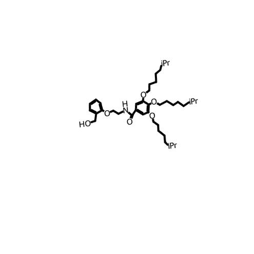 CC(C)CCCCCOc1cc(C(=O)NCCOc2ccccc2CO)cc(OCCCCCC(C)C)c1OCCCCCC(C)C